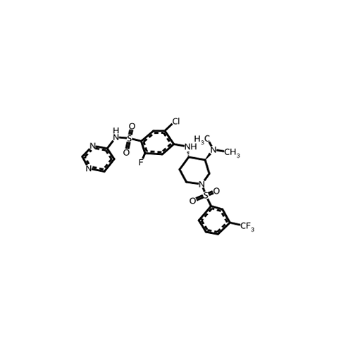 CN(C)[C@H]1CN(S(=O)(=O)c2cccc(C(F)(F)F)c2)CC[C@@H]1Nc1cc(F)c(S(=O)(=O)Nc2ccncn2)cc1Cl